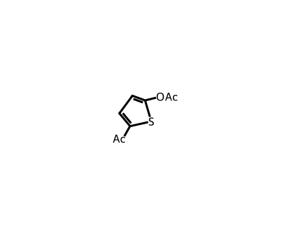 CC(=O)Oc1ccc(C(C)=O)s1